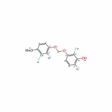 COc1ccc(OCOc2ccc(F)c(O)c2F)c(F)c1F